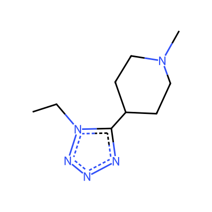 CCn1nnnc1C1CCN(C)CC1